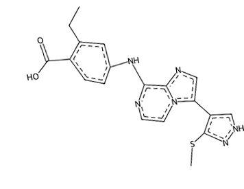 CCc1cc(Nc2nccn3c(-c4c[nH]nc4SC)cnc23)ccc1C(=O)O